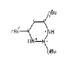 CCCCC1CC(CCCC)NN(CCCC)N1